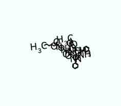 CCCCOC(=O)N1CCN(C(=O)[C@H](CP(=O)(OCC)OCC)NC(=O)c2cc(NCc3ccccc3)nc(-c3ccccc3)n2)CC1